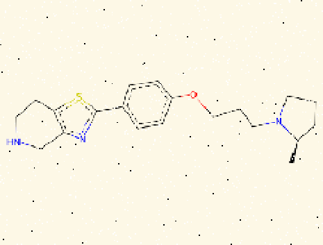 C[C@@H]1CCCN1CCCOc1ccc(-c2nc3c(s2)CCNC3)cc1